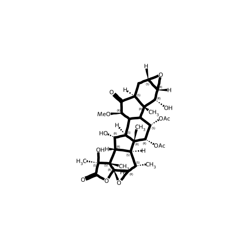 CO[C@H]1C(=O)[C@H]2C[C@@H]3O[C@@H]3[C@H](O)[C@]2(C)C2C1[C@@H]1[C@@H](O)[C@@H]3[C@H]([C@H](C)[C@H]4O[C@]45OC(=O)[C@@](C)(O)[C@]35C)[C@@]1(C)[C@@H](OC(C)=O)[C@H]2OC(C)=O